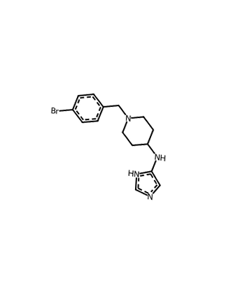 Brc1ccc(CN2CCC(Nc3cnc[nH]3)CC2)cc1